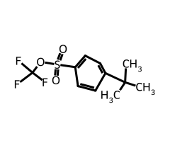 CC(C)(C)c1ccc(S(=O)(=O)OC(F)(F)F)cc1